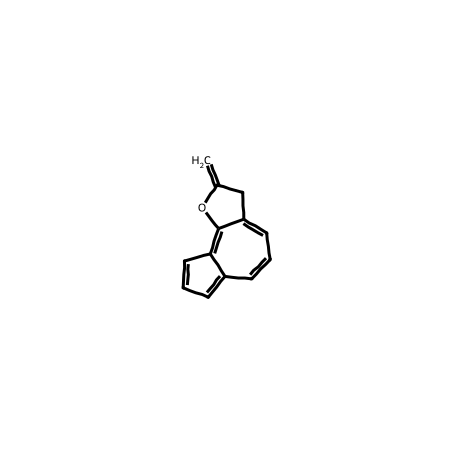 C=C1Cc2cccc3cccc-3c2O1